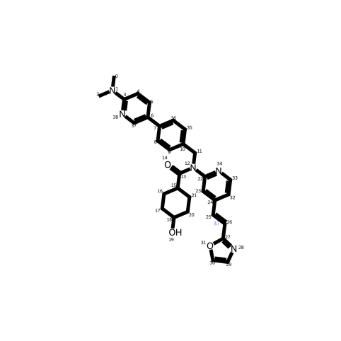 CN(C)c1ccc(-c2ccc(CN(C(=O)C3CCC(O)CC3)c3cc(/C=C/c4ncco4)ccn3)cc2)cn1